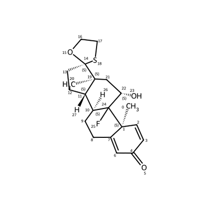 C[C@]12C=CC(=O)C=C1CC[C@H]1[C@@H]3CC[C@@]4(OCCS4)[C@@]3(C)C[C@H](O)C12F